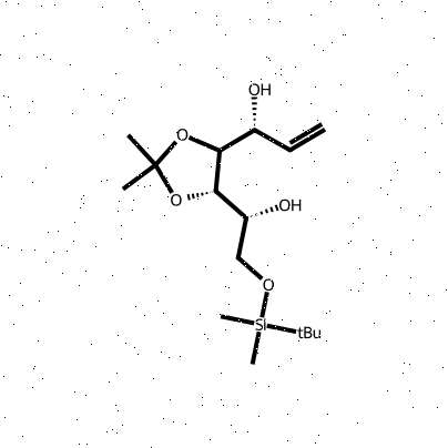 C=C[C@@H](O)C1OC(C)(C)O[C@H]1[C@H](O)CO[Si](C)(C)C(C)(C)C